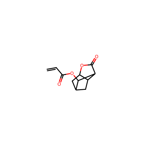 C=CC(=O)OC1C2CC3OC(=O)C1C3C2